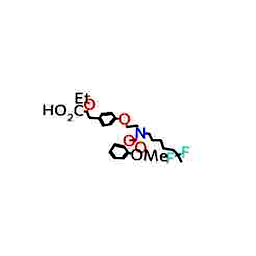 CCOC(Cc1ccc(OCCN(CCCCCC(C)(F)F)C(=O)Oc2ccccc2OC)cc1)C(=O)O